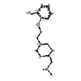 CNCC1CCN(CCOc2ccccc2F)CC1